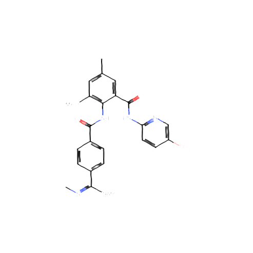 Bc1ccc(NC(=O)c2cc(C)cc(OC)c2NC(=O)c2ccc(/C(=N\C)NC)cc2)nc1